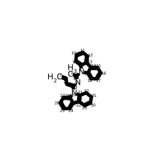 C=C/C=C(\N=C(/C)n1c2ccccc2c2ccccc21)n1c2c(c3ccccc31)C=CCC2